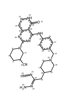 N#CC1CCCN(c2nc(Nc3ccc(CN4CCC(C/C(N=N)=N/N)CC4)cc3)c3c(=O)[nH]ncc3n2)C1